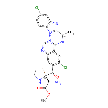 C[C@H](Nc1ncnc2cc(C(=O)[C@]3(C(N)C(=O)OC(C)(C)C)NCCS3)c(Cl)cc12)c1nc2cc(Cl)ccc2[nH]1